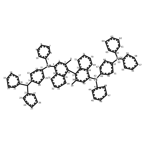 Cc1cc(N(c2ccccc2)c2ccc(C(c3ccccc3)c3ccccc3)cc2)c2ccccc2c1-c1c(C)cc(N(c2ccccc2)c2ccc(N(c3ccccc3)c3ccccc3)cc2)c2ccccc12